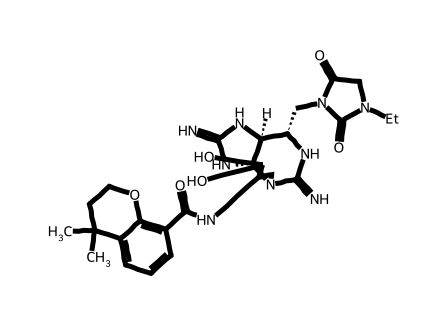 CCN1CC(=O)N(C[C@@H]2NC(=N)N3CC(NC(=O)c4cccc5c4OCCC5(C)C)C(O)(O)[C@@]34NC(=N)N[C@@H]24)C1=O